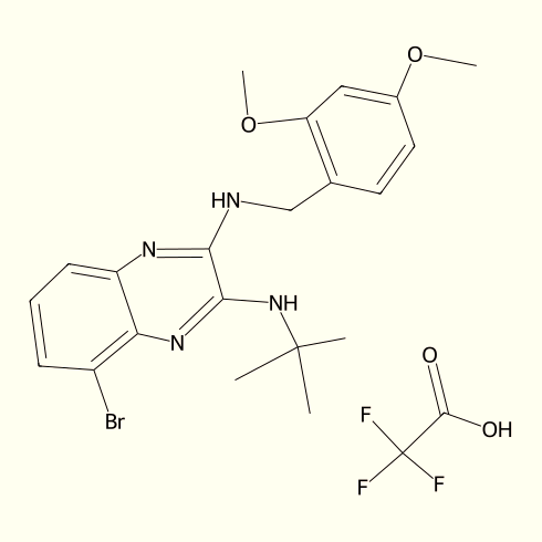 COc1ccc(CNc2nc3cccc(Br)c3nc2NC(C)(C)C)c(OC)c1.O=C(O)C(F)(F)F